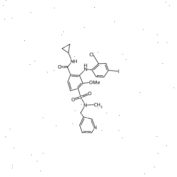 COc1c(S(=O)(=O)N(C)Cc2cccnc2)ccc(C(=O)NC2CC2)c1Nc1ccc(I)cc1Cl